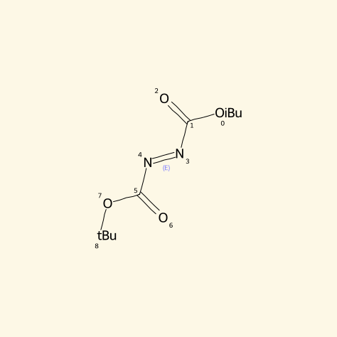 CC(C)COC(=O)/N=N/C(=O)OC(C)(C)C